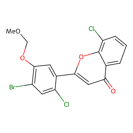 COCOc1cc(-c2cc(=O)c3cccc(Cl)c3o2)c(Cl)cc1Br